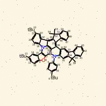 CC(C)(C)c1ccc(N2B3c4oc5ccc(C(C)(C)C)cc5c4-n4c5ccc(C(C)(C)C)cc5c5c6c(c(c3c54)-c3cc4c(cc32)C(C)(C)c2ccccc2-4)-c2ccccc2C6(C)C)cc1